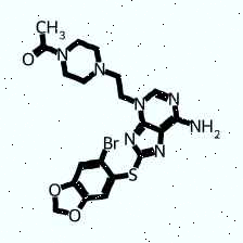 CC(=O)N1CCN(CCn2cnc(N)c3nc(Sc4cc5c(cc4Br)OCO5)nc2-3)CC1